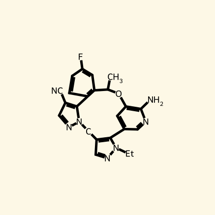 CCn1ncc2c1-c1cnc(N)c(c1)OC(C)c1cc(F)ccc1-c1c(C#N)cnn1C2